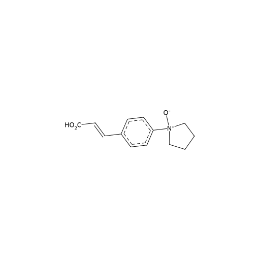 O=C(O)C=Cc1ccc([N+]2([O-])CCCC2)cc1